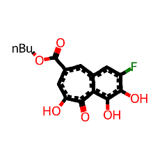 CCCCOC(=O)c1cc(O)c(=O)c2c(O)c(O)c(F)cc2c1